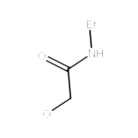 CCNC(=O)C[O]